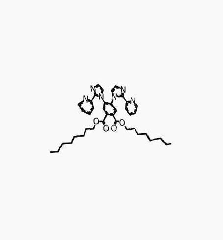 CCCCCCCCOC(=O)c1cc(-n2ccnc2-c2ccccn2)c(-n2ccnc2-c2ccccn2)cc1C(=O)OCCCCCCCC